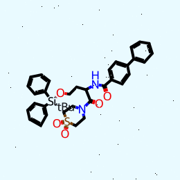 CC(C)(C)[Si](OCCC(NC(=O)c1ccc(-c2ccccc2)cc1)C(=O)N1CCS(=O)(=O)CC1)(c1ccccc1)c1ccccc1